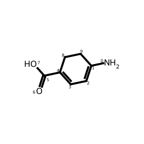 NC1=CC=C(C(=O)O)CC1